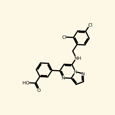 O=C(O)c1cccc(-c2cc(NCc3ccc(Cl)cc3Cl)n3nccc3n2)c1